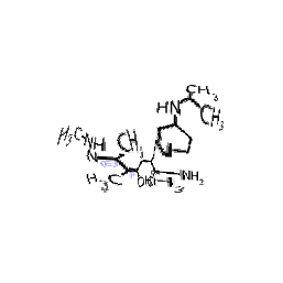 CN/N=C(C)/C(C)=C(/O)CC([C@H](C)N)N1CCC(NC(C)C)C1